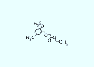 CCOC(=O)COCc1cc(C)ccc1OC